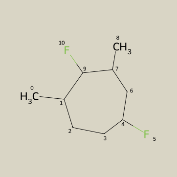 CC1CCC(F)CC(C)C1F